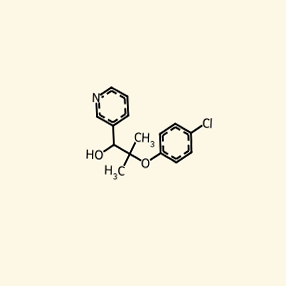 CC(C)(Oc1ccc(Cl)cc1)C(O)c1cccnc1